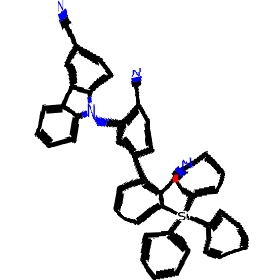 N#Cc1ccc2c(c1)c1ccccc1n2-c1cc(-c2cccc([Si](c3ccccc3)(c3ccccc3)c3ccccc3)c2C#N)ccc1C#N